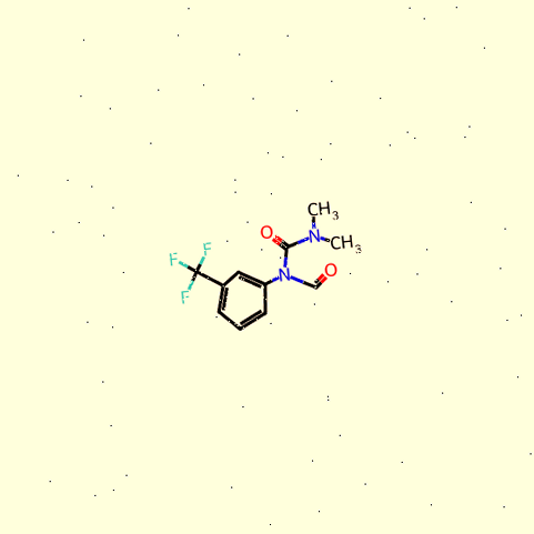 CN(C)C(=O)N(C=O)c1cccc(C(F)(F)F)c1